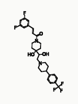 O=C(/C=C/c1cc(F)cc(F)c1)N1CCC(O)(C(O)CN2CCC(c3ccc(C(F)(F)F)cc3)CC2)CC1